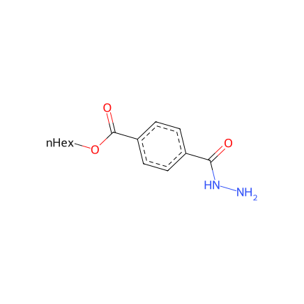 CCCCCCOC(=O)c1ccc(C(=O)NN)cc1